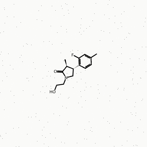 Cc1ccc([C@@H]2CN(CCO)C(=O)[C@H]2C)c(F)c1